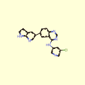 Clc1cncc(Nc2ncnc3ccc(-c4cnc5[nH]ccc5c4)cc23)c1